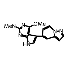 CNc1nc(OC)c2c(-c3ccn4nccc4c3)c[nH]c2n1